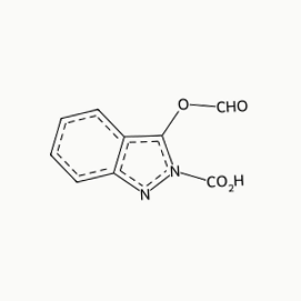 O=COc1c2ccccc2nn1C(=O)O